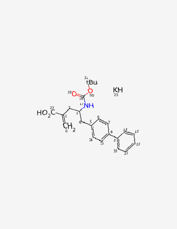 C=C(CC(Cc1ccc(-c2ccccc2)cc1)NC(=O)OC(C)(C)C)C(=O)O.[KH]